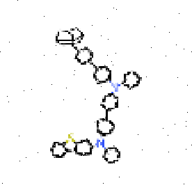 c1ccc(N(c2ccc(-c3ccc(N(c4ccccc4)c4ccc5c(c4)sc4ccccc45)cc3)cc2)c2ccc(-c3ccc(C45CC6CC(CC(C6)C4)C5)cc3)cc2)cc1